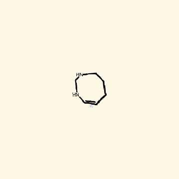 C1=C\NCNCCC/1